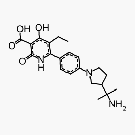 CCc1c(-c2ccc(N3CCC(C(C)(C)N)C3)cc2)[nH]c(=O)c(C(=O)O)c1O